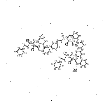 O=C(C=Cc1ccccc1)C(=Cc1ccccc1)C(=O)C=Cc1ccccc1.O=C(C=Cc1ccccc1)C(=Cc1ccccc1)C(=O)C=Cc1ccccc1.O=C(C=Cc1ccccc1)C(=Cc1ccccc1)C(=O)C=Cc1ccccc1.[Pd]